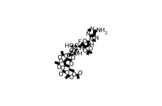 CC(=O)OCC(OC(C)=O)[C@H]1O[C@@H](OP(=O)(O)OP(=O)(O)OCC2(F)O[C@@H](n3cnc4c(N)ncnc43)[C@@H]3OC(C)(C)O[C@@H]32)[C@@H](OC(C)=O)[C@@H](OC(C)=O)[C@@H]1OC(C)=O